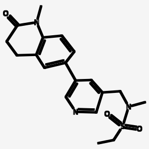 CCS(=O)(=O)N(C)Cc1cncc(-c2ccc3c(c2)CCC(=O)N3C)c1